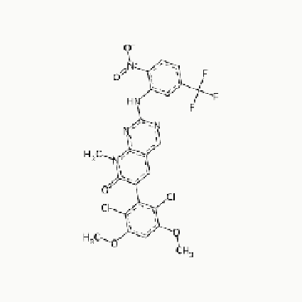 COc1cc(OC)c(Cl)c(-c2cc3cnc(Nc4cc(C(F)(F)F)ccc4[N+](=O)[O-])nc3n(C)c2=O)c1Cl